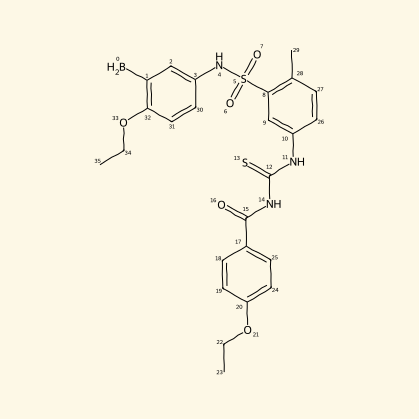 Bc1cc(NS(=O)(=O)c2cc(NC(=S)NC(=O)c3ccc(OCC)cc3)ccc2C)ccc1OCC